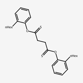 CCCCCCc1ccccc1OC(=S)CCC(=S)Oc1ccccc1CCCCCC